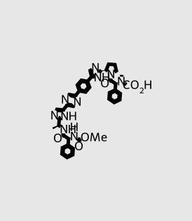 COC(=O)N[C@@H](C(=O)N[C@@H](C)c1ncc(-c2cnc(-c3ccc(-c4cnc([C@@H]5CCCN5C(=O)[C@@H](c5ccccc5)N(C)C(=O)O)[nH]4)cc3)cn2)[nH]1)c1ccccc1